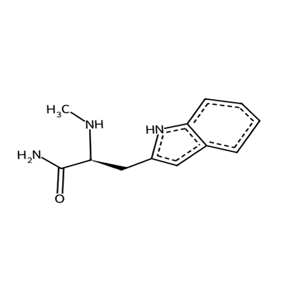 CN[C@@H](Cc1cc2ccccc2[nH]1)C(N)=O